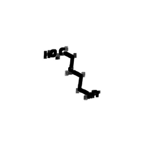 CCCCCSCC(=O)O